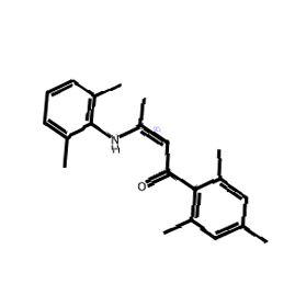 C/C(=C/C(=O)c1c(C)cc(C)cc1C)Nc1c(C)cccc1C